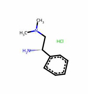 CN(C)C[C@@H](N)c1ccccc1.Cl